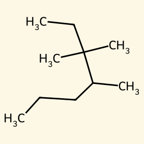 CCCC(C)C(C)(C)CC